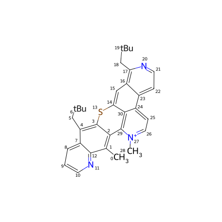 Cc1c2c(c(CC(C)(C)C)c3cccnc13)Sc1cc3c(CC(C)(C)C)nccc3c3cc[n+](C)c-2c13